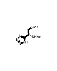 CSC[C@H](NC(C)=O)c1nnn[nH]1